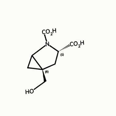 O=C(O)[C@@H]1C[C@]2(CO)CC2N1C(=O)O